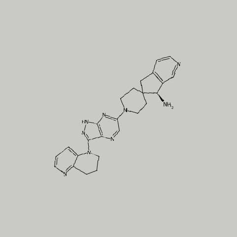 N[C@@H]1c2cnccc2CC12CCN(c1cnc3c(N4CCCc5ncccc54)n[nH]c3n1)CC2